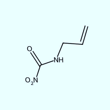 C=CCNC(=O)[N+](=O)[O-]